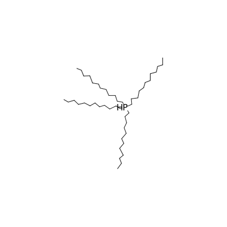 CCCCCCCCCCCC[PH](CCCCCCCCCCCC)(CCCCCCCCCCCC)CCCCCCCCCCCC